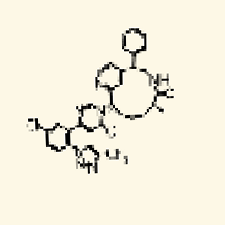 CC1CCC[C@H](n2cnc(-c3cc(Cl)ccc3-n3cc(C(F)(F)F)nn3)cc2=O)c2cc(ccn2)C(c2ccccc2)CNC1=O